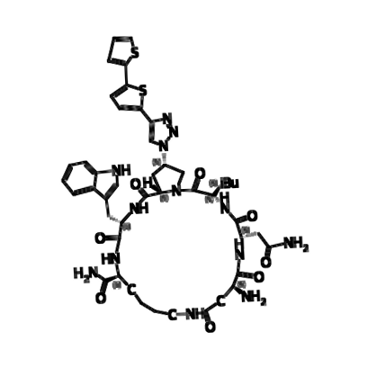 CC[C@H](C)[C@@H]1NC(=O)[C@H](CC(N)=O)NC(=O)[C@@H](N)CC(=O)NCCCC[C@@H](C(N)=O)NC(=O)[C@H](Cc2c[nH]c3ccccc23)NC(=O)[C@@H]2C[C@H](n3cc(-c4ccc(-c5cccs5)s4)nn3)CN2C1=O